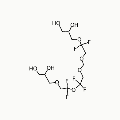 OCC(O)COCC(F)(F)OC(F)(F)COCOCC(F)(F)OCC(O)CO